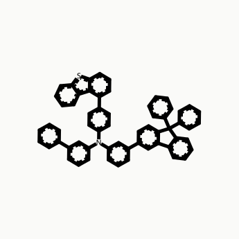 c1ccc(-c2cccc(N(c3ccc(-c4cccc5sc6ccccc6c45)cc3)c3cccc(-c4ccc5c(c4)-c4ccccc4C5(c4ccccc4)c4ccccc4)c3)c2)cc1